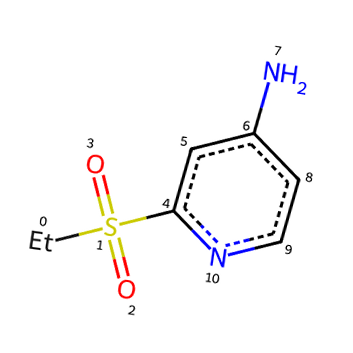 CCS(=O)(=O)c1cc(N)ccn1